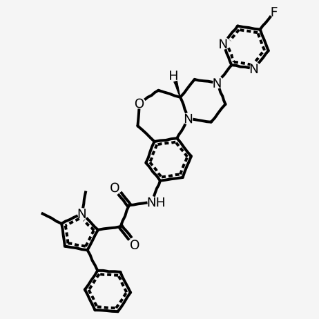 Cc1cc(-c2ccccc2)c(C(=O)C(=O)Nc2ccc3c(c2)COC[C@@H]2CN(c4ncc(F)cn4)CCN32)n1C